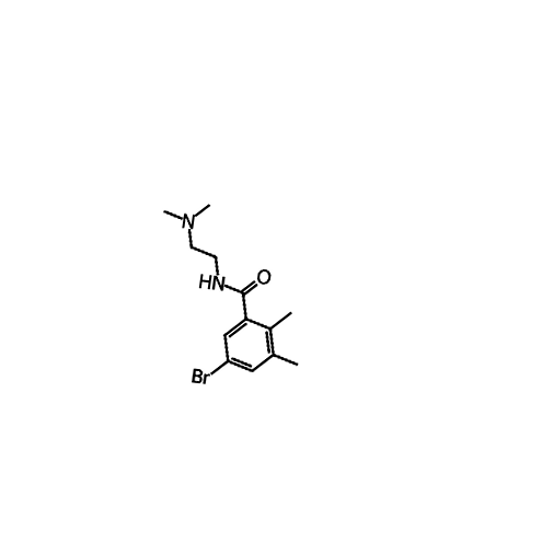 Cc1cc(Br)cc(C(=O)NCCN(C)C)c1C